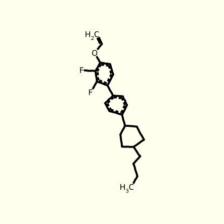 C=COc1ccc(-c2ccc(C3CCC(CCCC)CC3)cc2)c(F)c1F